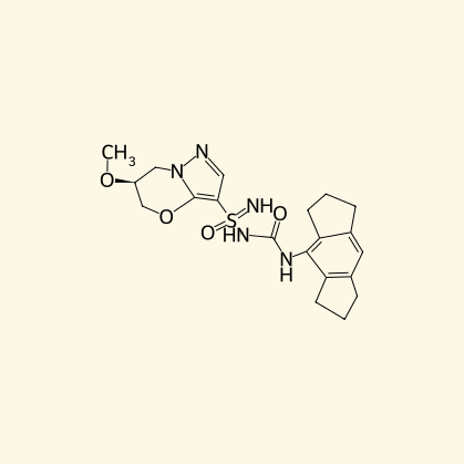 CO[C@@H]1COc2c([S@@](=N)(=O)NC(=O)Nc3c4c(cc5c3CCC5)CCC4)cnn2C1